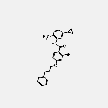 CC(C)c1cc(OCCCc2ccccc2)ccc1C(=O)Nc1cc(C2CC2)ccc1C(F)(F)F